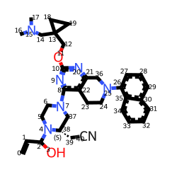 C=CC(O)N1CCN(c2nc(OCC3(CN(C)C)CC3)nc3c2CCN(c2cccc4ccccc24)C3)C[C@@H]1CC#N